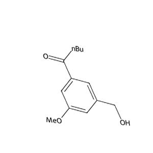 CCCCC(=O)c1cc(CO)cc(OC)c1